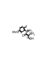 COc1ccc(F)c(N(N)/C(Cl)=C(\N)CO)c1